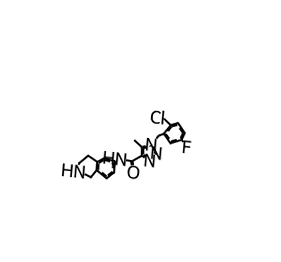 Cc1c(C(=O)Nc2ccc3c(c2)CCNC3)nnn1Cc1cc(F)ccc1Cl